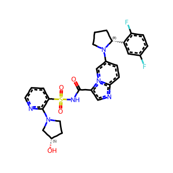 O=C(NS(=O)(=O)c1cccnc1N1CC[C@H](O)C1)c1cnc2ccc(N3CCC[C@@H]3c3cc(F)ccc3F)cn12